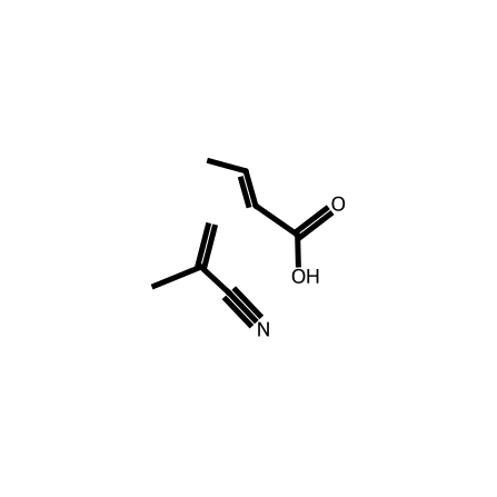 C=C(C)C#N.CC=CC(=O)O